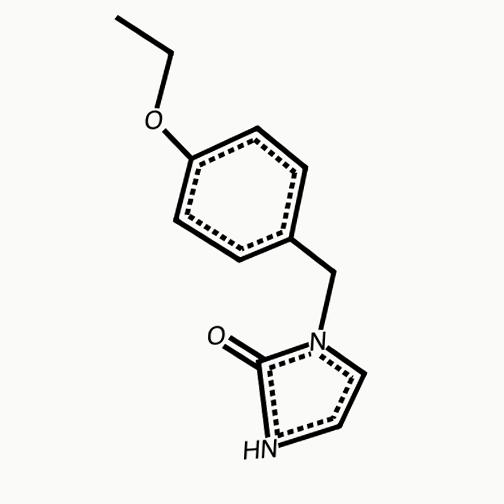 CCOc1ccc(Cn2cc[nH]c2=O)cc1